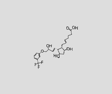 O=C(O)CCCC=CC[C@@H]1[C@@H](C=C[C@H](O)COc2cccc(C(F)(F)F)c2)[C@H](O)C[C@@H]1O